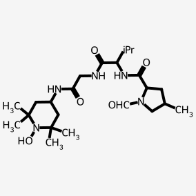 CC1CC(C(=O)NC(C(=O)NCC(=O)NC2CC(C)(C)N(O)C(C)(C)C2)C(C)C)N(C=O)C1